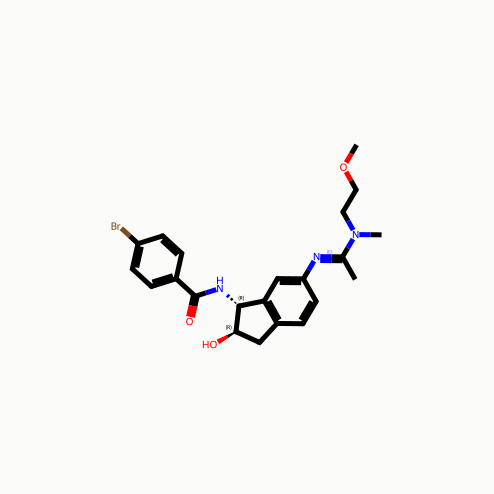 COCCN(C)/C(C)=N/c1ccc2c(c1)[C@@H](NC(=O)c1ccc(Br)cc1)[C@H](O)C2